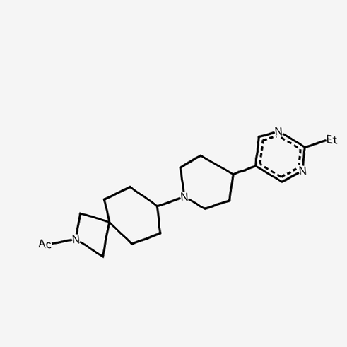 CCc1ncc(C2CCN(C3CCC4(CC3)CN(C(C)=O)C4)CC2)cn1